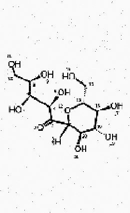 [2H]C1(C(=O)[C@H](O)[C@@H](O)[C@H](O)CO)O[C@H](CO)[C@@H](O)[C@H](O)[C@H]1O